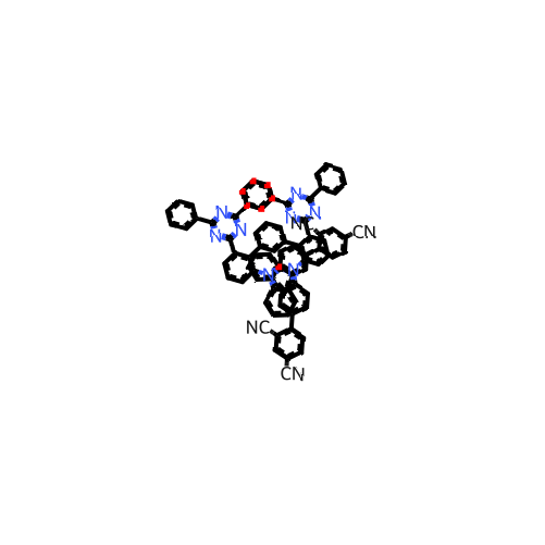 N#Cc1ccc(-c2ccc3c(c2)c2ccccc2n3-c2cccc(-c3nc(-c4ccccc4)nc(-c4ccccc4)n3)c2-c2cccc(-c3c(-c4nc(-c5ccccc5)nc(-c5ccccc5)n4)cccc3-n3c4ccccc4c4cc(-c5ccc(C#N)cc5C#N)ccc43)c2)c(C#N)c1